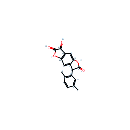 Cc1ccc(C)c(C2C(=O)Oc3cc4c(cc32)OC(=O)C4=O)c1